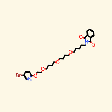 O=C1c2ccccc2C(=O)N1CCCCCOCCCCOCCCCOCCOc1ccc(Br)cn1